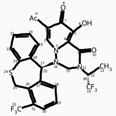 CC(=O)c1cn2c(c(O)c1=O)C(=O)N([C@H](C)C(F)(F)F)CN2[C@@H]1c2ccccc2SCc2c1cccc2C(F)(F)F